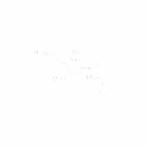 C#CCOc1c(OC)cc(C(=O)NCC2CCC2)cc1OC